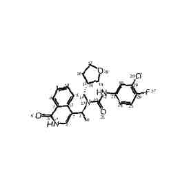 CC(c1c[nH]c(=O)c2ccccc12)N(C[C@@H]1CCOC1)C(=O)Nc1ccc(F)c(Cl)c1